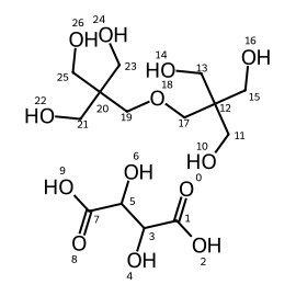 O=C(O)C(O)C(O)C(=O)O.OCC(CO)(CO)COCC(CO)(CO)CO